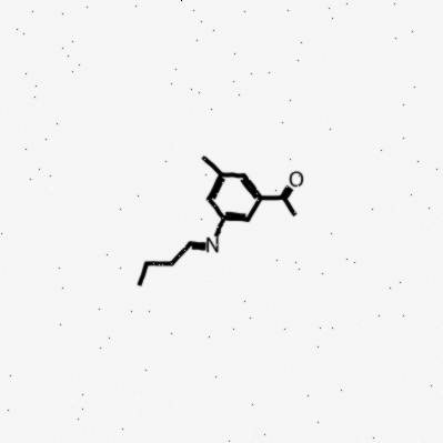 CCC/C=N/c1cc(C)cc(C(C)=O)c1